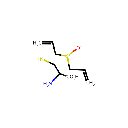 C=CC[S+]([O-])CC=C.NC(CS)C(=O)O